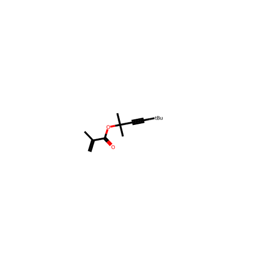 C=C(C)C(=O)OC(C)(C)C#CC(C)(C)C